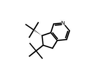 CC(C)(C)C1Cc2ccncc2[C@H]1C(C)(C)C